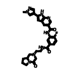 Cn1cc(-c2cc3cc(C(=O)Nc4cc(C(=O)NCCN5CC(=O)N6CCCC6C5)ccc4F)cnc3[nH]2)cn1